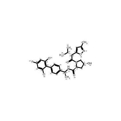 Cc1cc([C@H](C(=O)N2C[C@H](O)C[C@H]2C(=O)N[C@@H](C)c2ccc(-c3c(Cl)cc(F)cc3Cl)cc2)C(C)C)on1